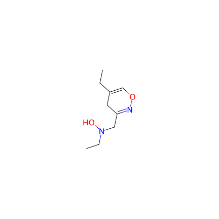 CCC1=CON=C(CN(O)CC)C1